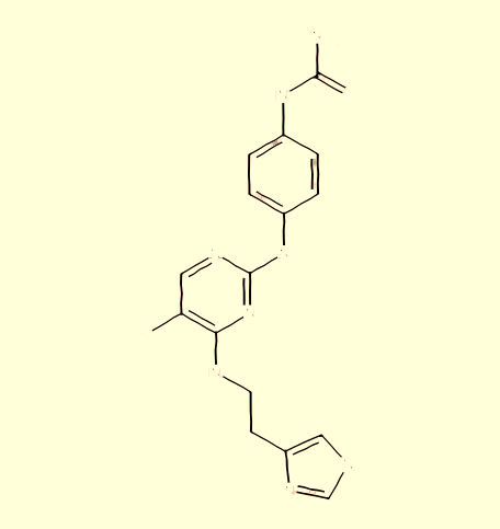 NC(=O)Nc1ccc(Nc2ncc(Br)c(NCCc3c[nH]cn3)n2)cc1